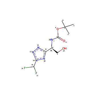 CC(C)(C)OC(=O)N[C@@H](CO)c1nnn(C(F)F)n1